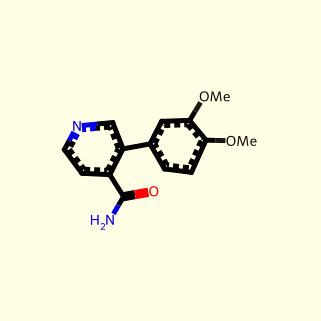 COc1ccc(-c2cnccc2C(N)=O)cc1OC